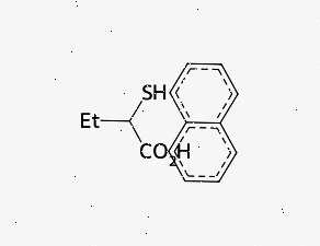 CCC(S)C(=O)O.c1ccc2ccccc2c1